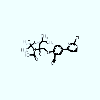 CC(C)CC(C)(COc1ccc(-c2ccnc(Cl)n2)cc1C#N)N(C(=O)O)C(C)(C)C